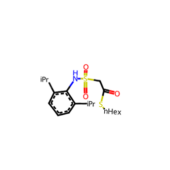 CCCCCCSC(=O)CS(=O)(=O)Nc1c(C(C)C)cccc1C(C)C